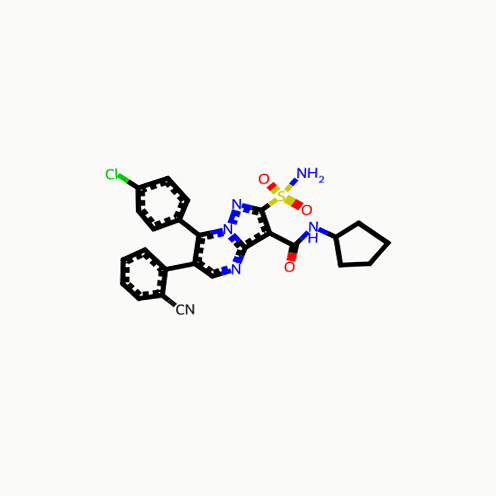 N#Cc1ccccc1-c1cnc2c(C(=O)NC3CCCC3)c(S(N)(=O)=O)nn2c1-c1ccc(Cl)cc1